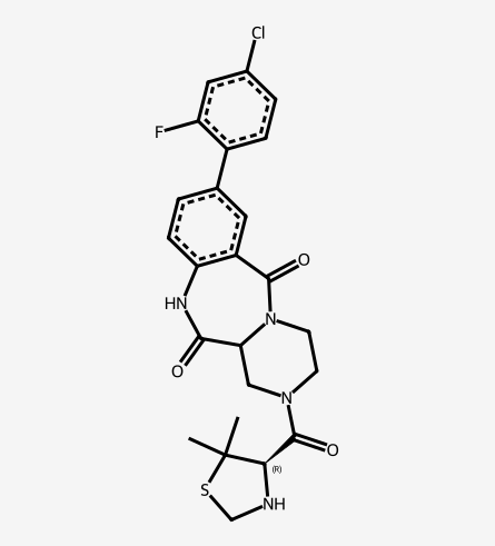 CC1(C)SCN[C@@H]1C(=O)N1CCN2C(=O)c3cc(-c4ccc(Cl)cc4F)ccc3NC(=O)C2C1